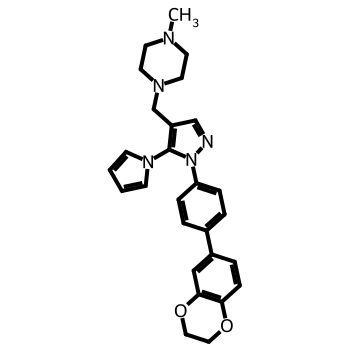 CN1CCN(Cc2cnn(-c3ccc(-c4ccc5c(c4)OCCO5)cc3)c2-n2cccc2)CC1